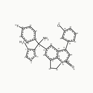 Cn1cnnc1C(N)(c1ccc(F)cc1)c1cc2c3c(c1)c(-c1cccc(Cl)c1)cc(=O)n3CC2